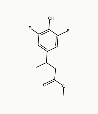 COC(=O)CC(C)c1cc(F)c(O)c(F)c1